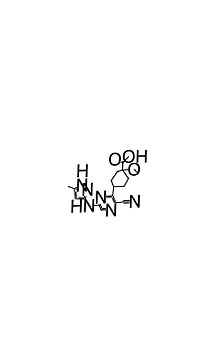 COC1(C(=O)O)CCC(c2nc(Nc3cc(C)[nH]n3)cnc2C#N)CC1